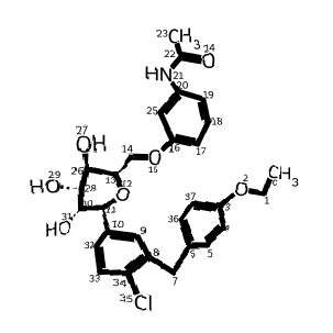 CCOc1ccc(Cc2cc([C@@H]3O[C@H](COc4cccc(NC(C)=O)c4)[C@H](O)[C@@H](O)[C@H]3O)ccc2Cl)cc1